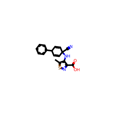 Cc1snc(C(=O)O)c1NC1(C#N)C=CC(c2ccccc2)C=C1